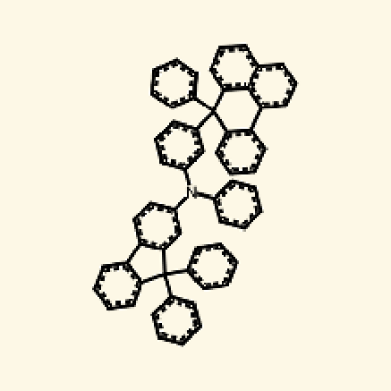 c1ccc(N(c2cccc(C3(c4ccccc4)c4ccccc4-c4cccc5cccc3c45)c2)c2ccc3c(c2)C(c2ccccc2)(c2ccccc2)c2ccccc2-3)cc1